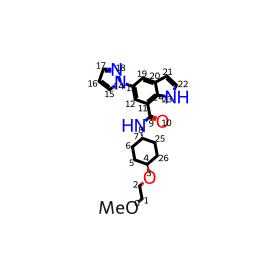 COCCO[C@H]1CC[C@H](NC(=O)c2cc(-n3cccn3)cc3cc[nH]c23)CC1